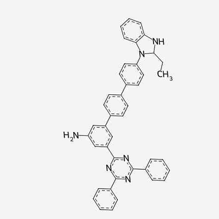 CCC1Nc2ccccc2N1c1ccc(-c2ccc(-c3cc(N)cc(-c4nc(-c5ccccc5)nc(-c5ccccc5)n4)c3)cc2)cc1